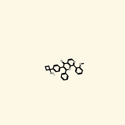 COc1ccccc1-c1nccc2c(=O)c(-c3ccc(C4(N)CCC4)cc3)c(-c3ccccc3)oc12